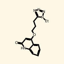 CCn1nnnc1CCCOc1cc(=O)[nH]c2ccccc12